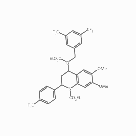 CCOC(=O)N(Cc1cc(C(F)(F)F)cc(C(F)(F)F)c1)C1CC(c2ccc(C(F)(F)F)cc2)N(C(=O)OCC)c2cc(OC)c(OC)cc21